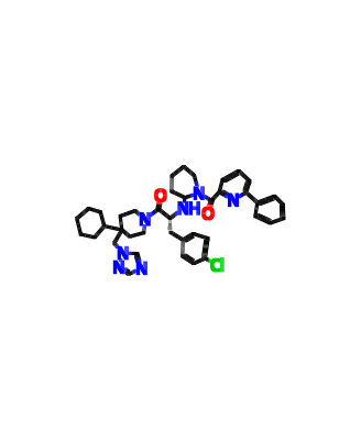 O=C([C@@H](Cc1ccc(Cl)cc1)NC1CCCCN1C(=O)c1cccc(-c2ccccc2)n1)N1CCC(Cn2cncn2)(C2CCCCC2)CC1